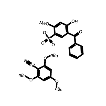 CCCCOc1cc(OCCCC)c([N+]#N)c(OCCCC)c1.COc1cc(O)c(C(=O)c2ccccc2)cc1S(=O)(=O)[O-]